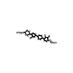 CCCCCCCCCOc1ccc(-c2ccc(-c3ccc(C4CCC(CCCCCCC)OC4)c(F)c3)cc2)c(F)c1F